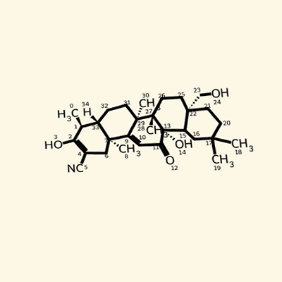 C[C@@H]1C(O)=C(C#N)C[C@]2(C)C3=CC(=O)[C@]4(O)C5CC(C)(C)CC[C@]5(CO)CC[C@@]4(C)[C@]3(C)CC[C@@H]12